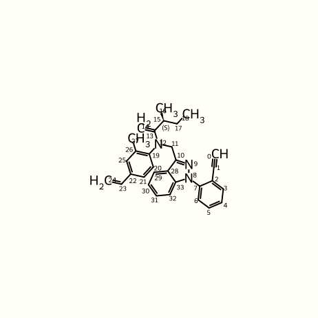 C#Cc1ccccc1-n1nc(CN(C(=C)[C@@H](C)CC)c2ccc(C=C)cc2C)c2ccccc21